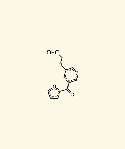 O=CCOc1cccc(C(=O)c2ccco2)c1